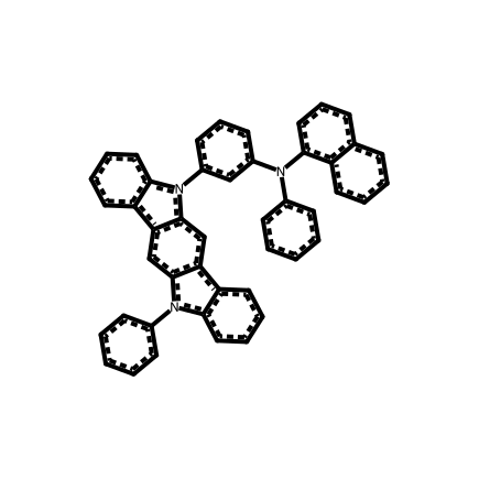 c1ccc(N(c2cccc(-n3c4ccccc4c4cc5c(cc43)c3ccccc3n5-c3ccccc3)c2)c2cccc3ccccc23)cc1